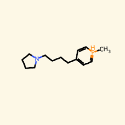 C[PH]1=CC=C(CCCCN2CCCC2)C=C1